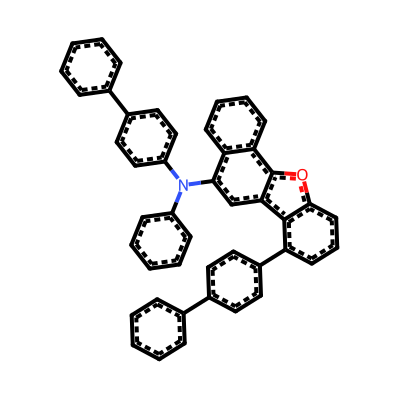 c1ccc(-c2ccc(-c3cccc4oc5c6ccccc6c(N(c6ccccc6)c6ccc(-c7ccccc7)cc6)cc5c34)cc2)cc1